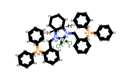 [Cl][Zr]1([Cl])[N](Cc2ccccc2P(c2ccccc2)c2ccccc2)[C@@H]2CCCC[C@H]2[N]1Cc1ccccc1P(c1ccccc1)c1ccccc1